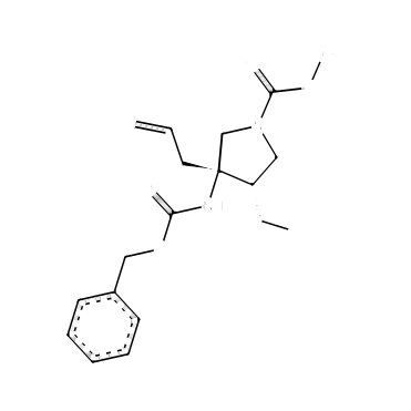 C=CC[C@@]1(NC(=O)OCc2ccccc2)CN(C(=O)OC(C)(C)C)C[C@@H]1CO